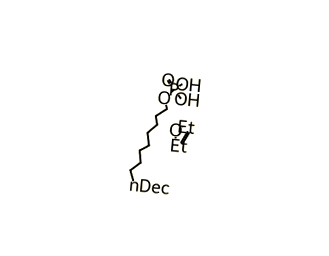 C=C.CCCCCCCCCCCCCCCCCCOP(=O)(O)O.CCOCC